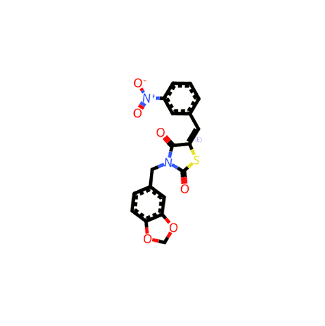 O=C1S/C(=C/c2cccc([N+](=O)[O-])c2)C(=O)N1Cc1ccc2c(c1)OCO2